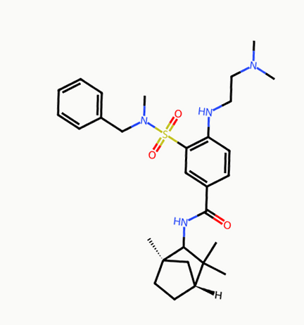 CN(C)CCNc1ccc(C(=O)NC2C(C)(C)[C@@H]3CC[C@]2(C)C3)cc1S(=O)(=O)N(C)Cc1ccccc1